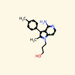 Cc1ccc(-c2c(C)n(CCCO)c3ccnc(N)c23)cc1